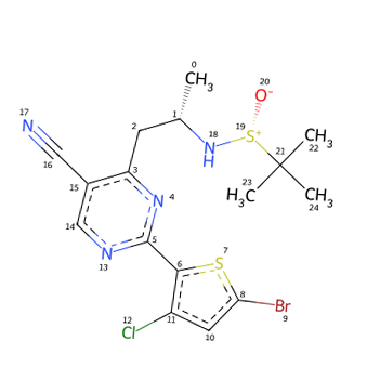 C[C@@H](Cc1nc(-c2sc(Br)cc2Cl)ncc1C#N)N[S@+]([O-])C(C)(C)C